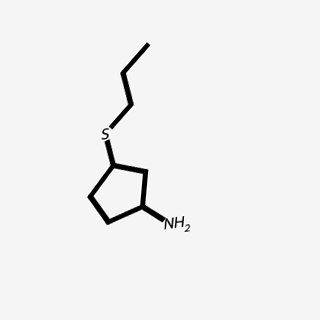 CCCSC1CCC(N)C1